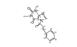 Cn1c(=O)c2c(ncn2C(=O)/C=C/c2ccccc2)n(C)c1=O